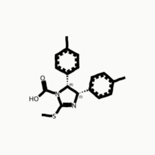 CSC1=N[C@@H](c2ccc(C)cc2)[C@@H](c2ccc(C)cc2)N1C(=O)O